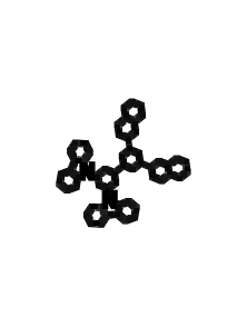 c1ccc2cc(-c3cc(-c4cc(-n5c6ccccc6c6ccccc65)cc(-n5c6ccccc6c6ccccc65)c4)cc(-c4ccc5ccccc5c4)c3)ccc2c1